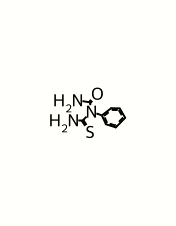 NC(=O)N(C(N)=S)c1ccccc1